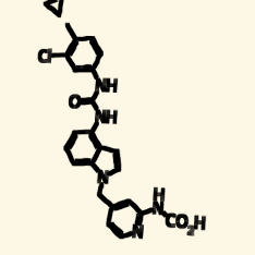 C1CC1.Cc1ccc(NC(=O)Nc2cccc3c2ccn3Cc2ccnc(NC(=O)O)c2)cc1Cl